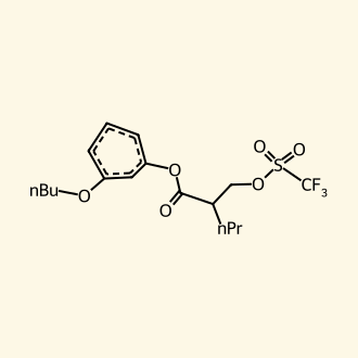 CCCCOc1cccc(OC(=O)C(CCC)COS(=O)(=O)C(F)(F)F)c1